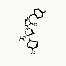 COC1=CCC([C@@H]2CCN(C3CCN(Cc4ccc(F)cc4)C3=O)C[C@H]2O)C=C1